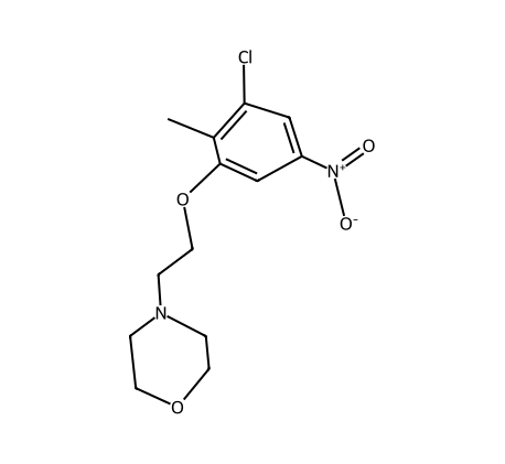 Cc1c(Cl)cc([N+](=O)[O-])cc1OCCN1CCOCC1